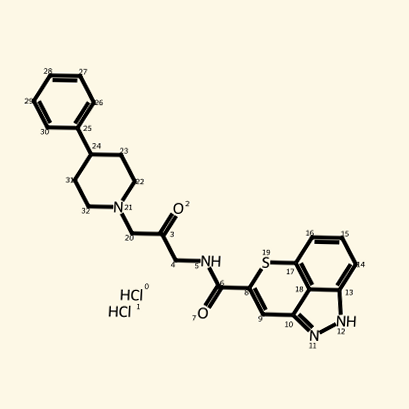 Cl.Cl.O=C(CNC(=O)C1=Cc2n[nH]c3cccc(c23)S1)CN1CCC(c2ccccc2)CC1